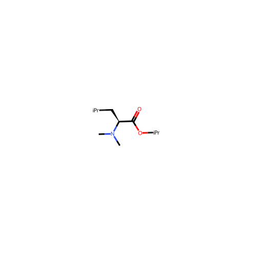 CC(C)C[C@@H](C(=O)OC(C)C)N(C)C